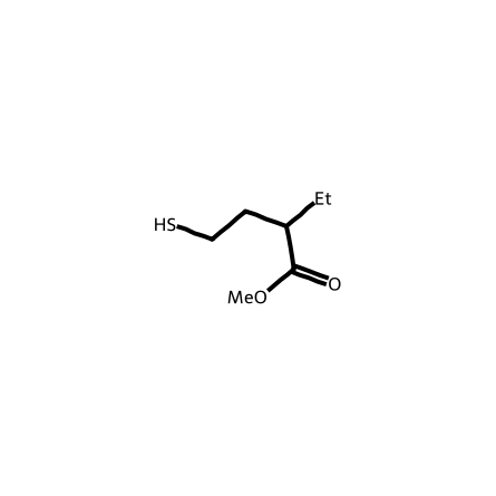 CCC(CCS)C(=O)OC